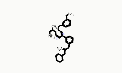 C=C(Cc1cccc(C(/C=C\CC(C)CN)=C/CCc2cccc(CC)c2)c1)CC1CCCCC1